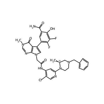 C[C@H]1CN(Cc2ccccc2)CCN1c1cc(NC(=O)Cn2cc(-c3cc(C(N)=O)c(O)c(F)c3F)c3c(=O)n(C)cnc32)c(Cl)cn1